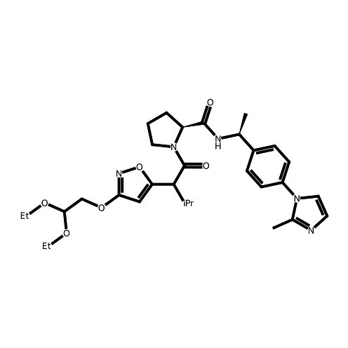 CCOC(COc1cc(C(C(=O)N2CCC[C@H]2C(=O)N[C@@H](C)c2ccc(-n3ccnc3C)cc2)C(C)C)on1)OCC